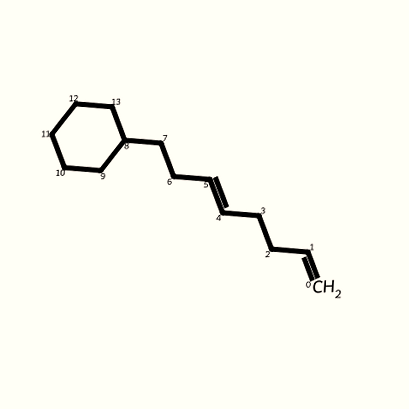 C=CCC/C=C/CCC1CCCCC1